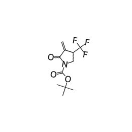 C=C1C(=O)N(C(=O)OC(C)(C)C)CC1C(F)(F)F